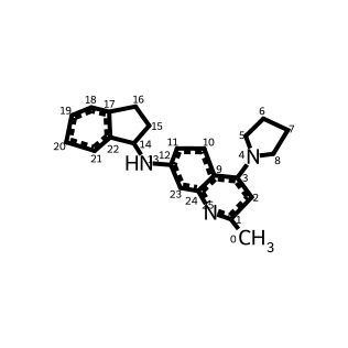 Cc1cc(N2CCCC2)c2ccc(NC3CCc4ccccc43)cc2n1